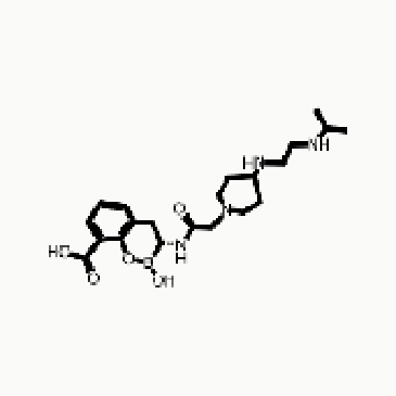 CC(C)NCCNC1CCN(CC(=O)N[C@H]2Cc3cccc(C(=O)O)c3OB2O)CC1